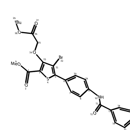 COC(=O)c1sc(-c2ccc(NC(=O)c3ccccc3)cc2)c(Br)c1OCC(=O)OC(C)(C)C